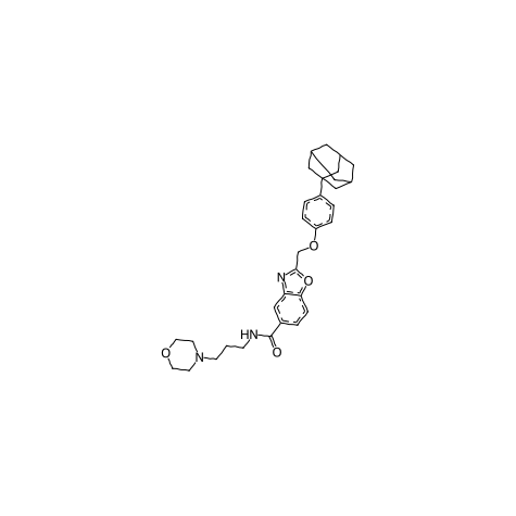 O=C(NCCCN1CCOCC1)c1ccc2oc(COc3ccc(C45CC6CC(CC(C6)C4)C5)cc3)nc2c1